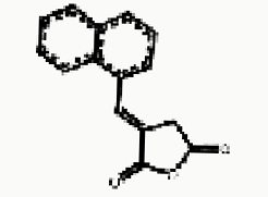 O=C1C/C(=C\c2cccc3ccccc23)C(=O)O1